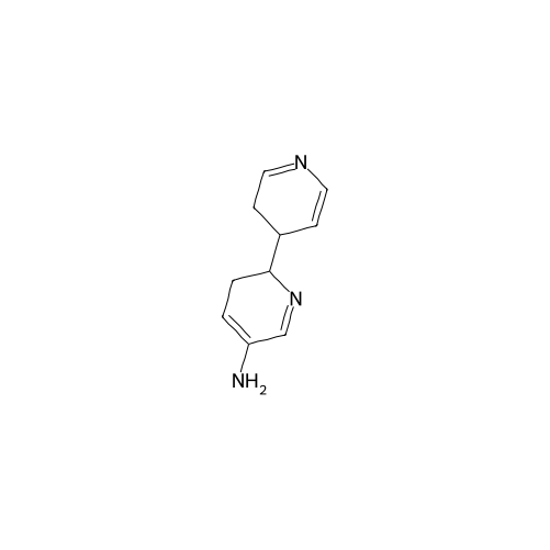 NC1=CCC(C2C=CN=CC2)N=C1